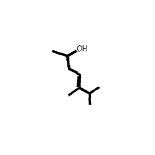 C/C(=C\CC(C)O)C(C)C